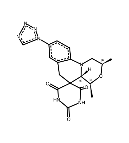 C[C@@H]1CN2c3ccc(-n4cnnn4)cc3CC3(C(=O)NC(=O)NC3=O)[C@H]2[C@H](C)O1